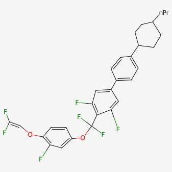 CCCC1CCC(c2ccc(-c3cc(F)c(C(F)(F)Oc4ccc(OC=C(F)F)c(F)c4)c(F)c3)cc2)CC1